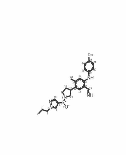 CCCn1cc([S+]([O-])N2CCC(c3cc(C=N)c(Nc4ccc(F)cc4)cc3C)C2)cn1